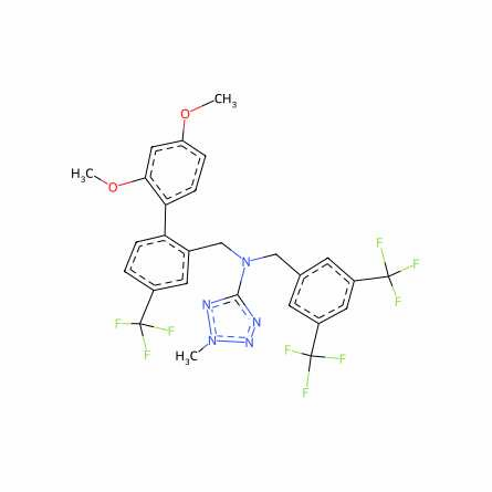 COc1ccc(-c2ccc(C(F)(F)F)cc2CN(Cc2cc(C(F)(F)F)cc(C(F)(F)F)c2)c2nnn(C)n2)c(OC)c1